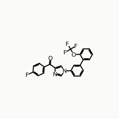 O=C(c1ccc(F)cc1)c1cn(-c2cccc(-c3ccccc3OC(F)(F)F)c2)cn1